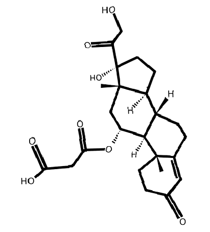 C[C@]12CCC(=O)C=C1CC[C@@H]1[C@@H]2[C@H](OC(=O)CC(=O)O)C[C@@]2(C)[C@H]1CC[C@]2(O)C(=O)CO